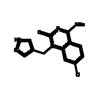 CNc1nc(=O)n(Cc2cn[nH]c2)c2cc(Cl)ccc12